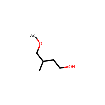 CC(=O)OCC(C)CCO